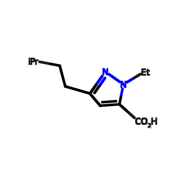 CCn1nc(CCC(C)C)cc1C(=O)O